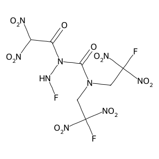 O=C(C([N+](=O)[O-])[N+](=O)[O-])N(NF)C(=O)N(CC(F)([N+](=O)[O-])[N+](=O)[O-])CC(F)([N+](=O)[O-])[N+](=O)[O-]